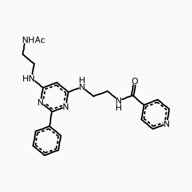 CC(=O)NCCNc1cc(NCCNC(=O)c2ccncc2)nc(-c2ccccc2)n1